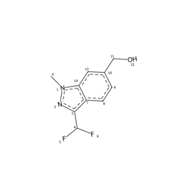 Cn1nc(C(F)F)c2ccc(CO)cc21